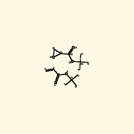 C=CC(=O)OC(C)(C)C.CC(C)(C)OC(=O)C1CO1